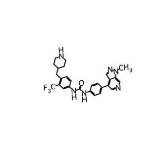 Cn1ncc2c(-c3ccc(NC(=O)Nc4ccc(CC5CCNCC5)c(C(F)(F)F)c4)cc3)cncc21